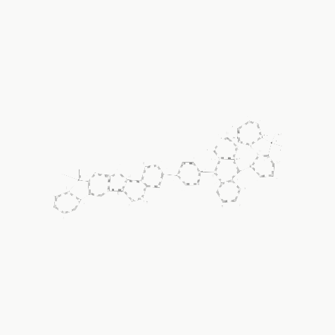 CC1(C)c2ccccc2-c2cc3c(cc21)sc1c2ccc(-c4ccc(-c5c6ccccc6c(-c6cccc7c6-c6ccccc6C7(C)C)c6ccccc56)cc4)cc2ccc31